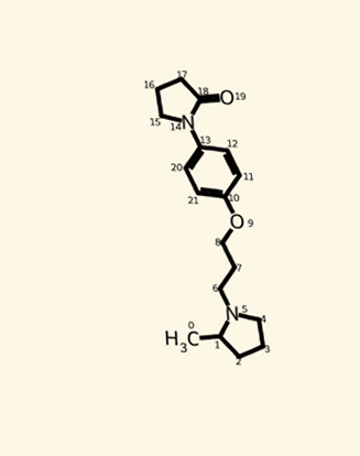 CC1CCCN1CCCOc1ccc(N2CCCC2=O)cc1